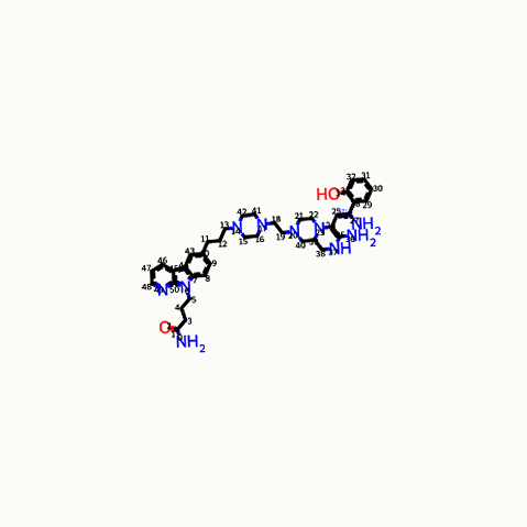 NC(=O)CCCn1c2ccc(CCCN3CCN(CCN4CCN5C(/C=C(\N)c6ccccc6O)=C(N)NCC5C4)CC3)cc2c2cccnc21